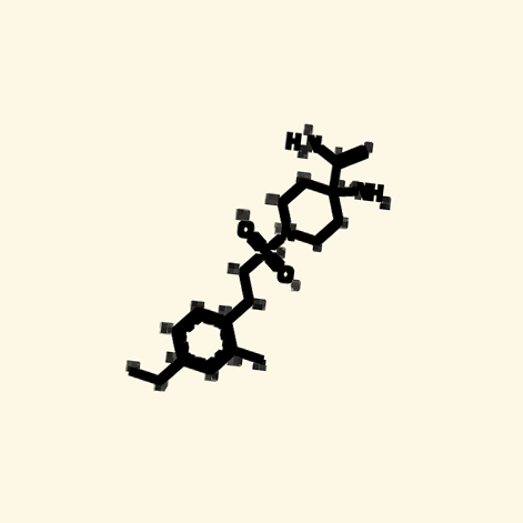 C=C(N)C1(N)CCN(S(=O)(=O)CCc2ccc(CC)cc2C)CC1